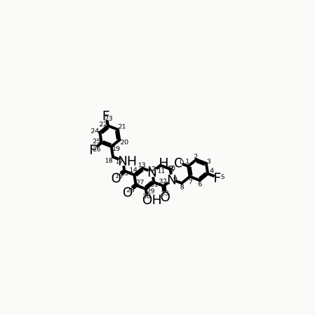 Cc1ccc(F)cc1CN1CCn2cc(C(=O)NCc3ccc(F)cc3F)c(=O)c(O)c2C1=O